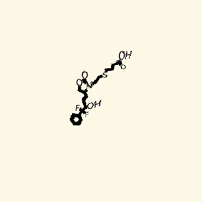 O=C(O)CCCSCCN1C(=O)OCC1/C=C/C(O)C(F)(F)c1ccccc1